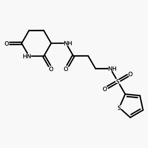 O=C1CCC(NC(=O)CCNS(=O)(=O)c2cccs2)C(=O)N1